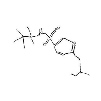 CC(C)Cc1ccc(S(=N)(=O)N[Si](C)(C)C(C)(C)C)cn1